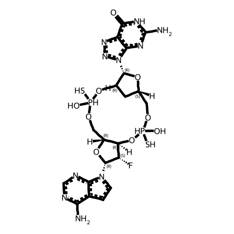 Nc1nc2c(nnn2[C@@H]2O[C@@H]3CO[PH](O)(S)O[C@H]4[C@H](F)[C@H](n5ccc6c(N)ncnc65)O[C@@H]4CO[PH](O)(S)O[C@@H]2C3)c(=O)[nH]1